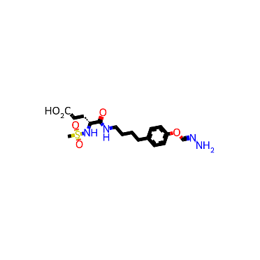 CS(=O)(=O)N[C@H](CCC(=O)O)C(=O)NCCCCc1ccc(OC=NN)cc1